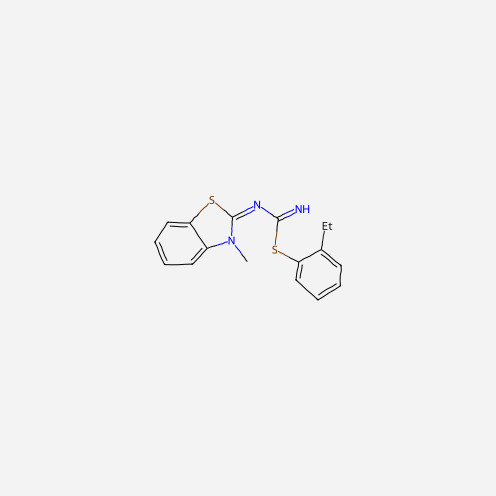 CCc1ccccc1SC(=N)/N=c1/sc2ccccc2n1C